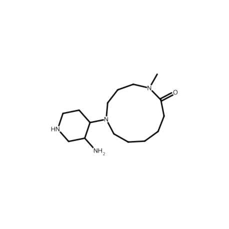 CN1CCCN(C2CCNCC2N)CCCCCC1=O